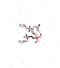 CO[Si](CC[SiH](C)O[SiH3])(OC)OC.C[SiH2]O[SiH2][Si](C)(C)O[SiH3]